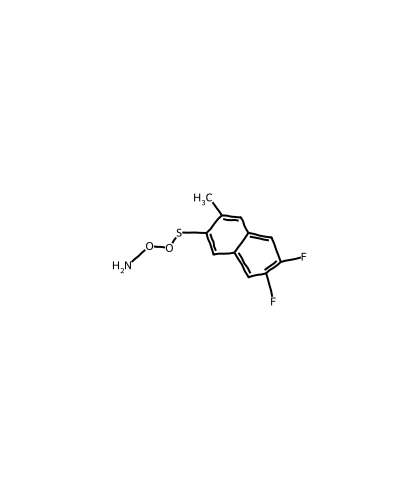 Cc1cc2cc(F)c(F)cc2cc1SOON